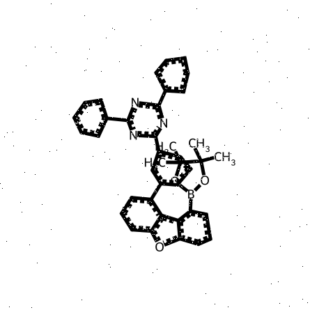 CC1(C)OB(c2cccc3oc4cccc(-c5cccc(-c6nc(-c7ccccc7)nc(-c7ccccc7)n6)c5)c4c23)OC1(C)C